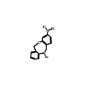 CCN(CC)c1ccc2c(c1)CCc1ccccc1N(C(C)=O)C2